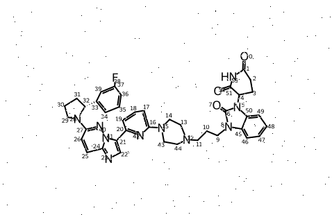 O=C1CCC(n2c(=O)n(CCCN3CCN(c4cccc(-c5cnc6ccc(N7CCC[C@@H]7c7cccc(F)c7)nn56)n4)CC3)c3ccccc32)C(=O)N1